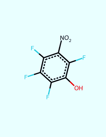 O=[N+]([O-])c1c(F)c(O)c(F)c(F)c1F